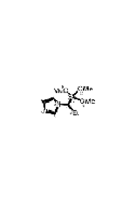 CCC(n1ccnc1)[Si](OC)(OC)OC